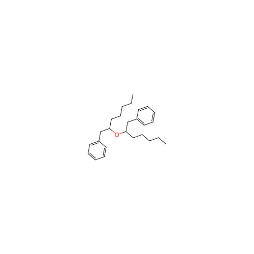 CCCCCC(Cc1ccccc1)OC(CCCCC)Cc1ccccc1